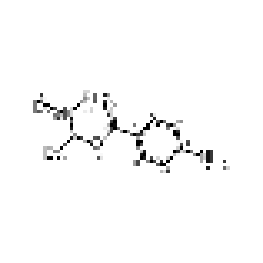 CCC(OC(=O)c1ccc(N)cc1)N(CC)CC